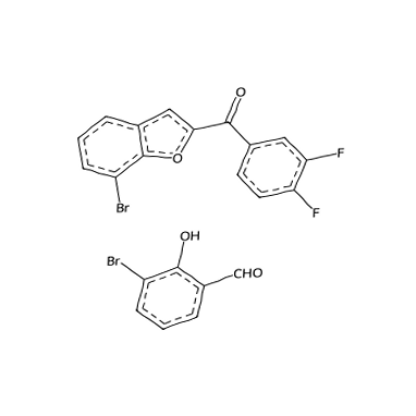 O=C(c1ccc(F)c(F)c1)c1cc2cccc(Br)c2o1.O=Cc1cccc(Br)c1O